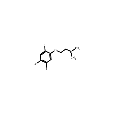 CN(C)CCOc1cc(F)c(Br)cc1F